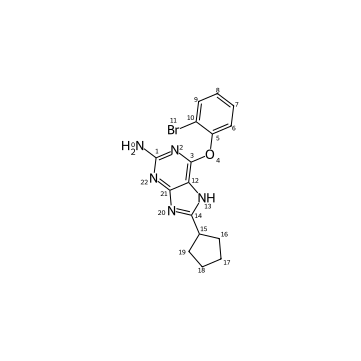 Nc1nc(Oc2ccccc2Br)c2[nH]c(C3CCCC3)nc2n1